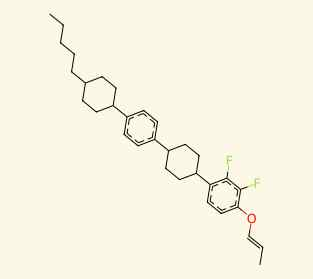 C/C=C/Oc1ccc(C2CCC(c3ccc(C4CCC(CCCCC)CC4)cc3)CC2)c(F)c1F